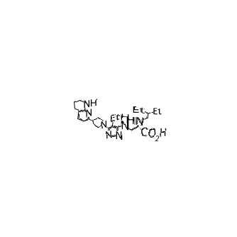 CCc1c(NC[C@H](NCC(CC)CC)C(=O)O)ncnc1N1CCC(c2ccc3c(n2)NCCC3)CC1